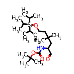 CC(C)[Si](OCCC(C)(C)CC(C=O)NC(=O)OC(C)(C)C)(C(C)C)C(C)C